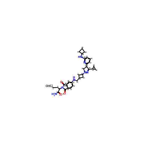 NC(=O)C(CCC=O)N1C(=O)c2ccc(NCC3CC(N4CC(c5cccc(NC6CCC6)n5)C(C5CC5)=N4)C3)cc2C1=O